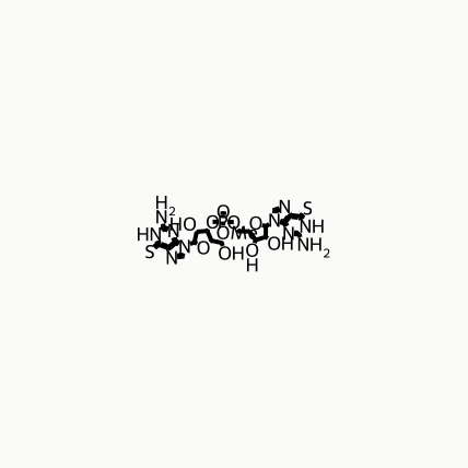 COP(=O)(OCC1OC(n2cnc3c(=S)[nH]c(N)nc32)C(O)C1O)OC1C(CO)OC(n2cnc3c(=S)[nH]c(N)nc32)C1O